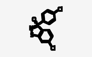 O=S1(c2ccc(Cl)cc2)=NSc2cc(Cl)ccc21